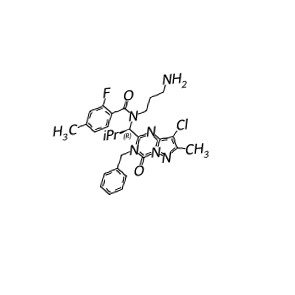 Cc1ccc(C(=O)N(CCCN)[C@@H](c2nc3c(Cl)c(C)nn3c(=O)n2Cc2ccccc2)C(C)C)c(F)c1